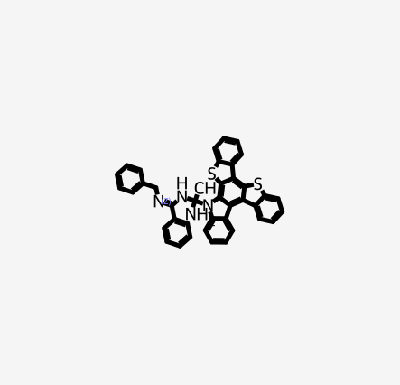 CC(N)(N/C(=N\Cc1ccccc1)c1ccccc1)n1c2ccccc2c2c3c4ccccc4sc3c3c4ccccc4sc3c21